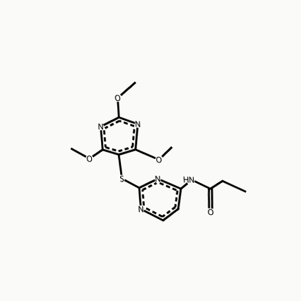 CCC(=O)Nc1ccnc(Sc2c(OC)nc(OC)nc2OC)n1